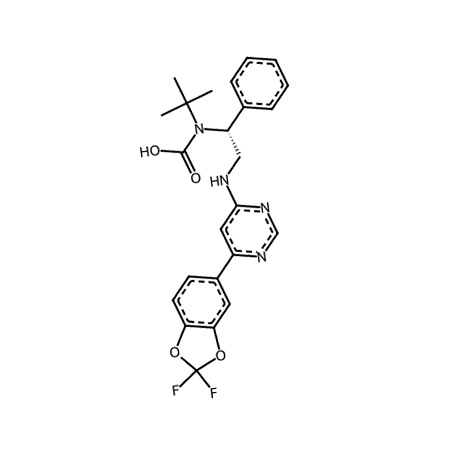 CC(C)(C)N(C(=O)O)[C@@H](CNc1cc(-c2ccc3c(c2)OC(F)(F)O3)ncn1)c1ccccc1